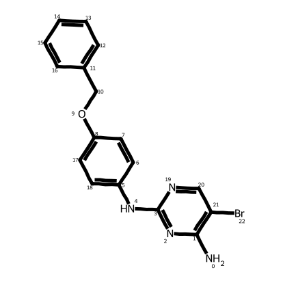 Nc1nc(Nc2ccc(OCc3ccccc3)cc2)ncc1Br